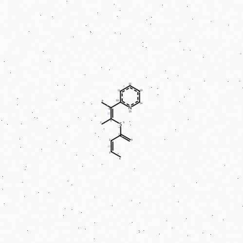 C=C(/C=C\C)S/C(C)=C(/C)c1ccccn1